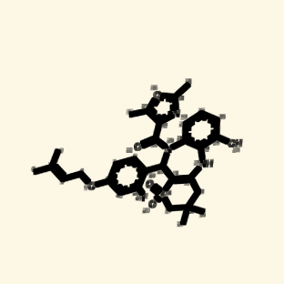 CC(C)=CCOc1ccc(C2C3=C(CC(C)(C)CS3(=O)=O)Nc3c(O)cccc3N2C(=O)c2nc(C)oc2C)c(F)c1